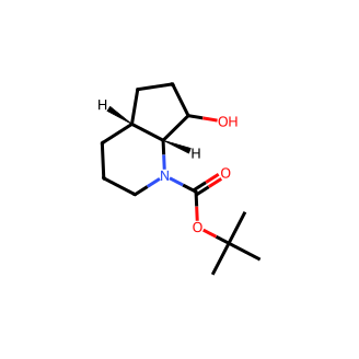 CC(C)(C)OC(=O)N1CCC[C@@H]2CCC(O)[C@@H]21